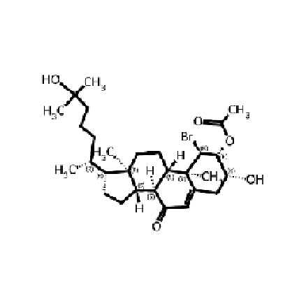 CC(=O)O[C@@H]1[C@H](O)CC2=CC(=O)[C@H]3[C@@H]4CC[C@H]([C@H](C)CCCC(C)(C)O)[C@@]4(C)CC[C@@H]3[C@@]2(C)[C@H]1Br